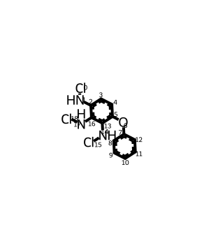 ClNc1ccc(Oc2ccccc2)c(NCl)c1NCl